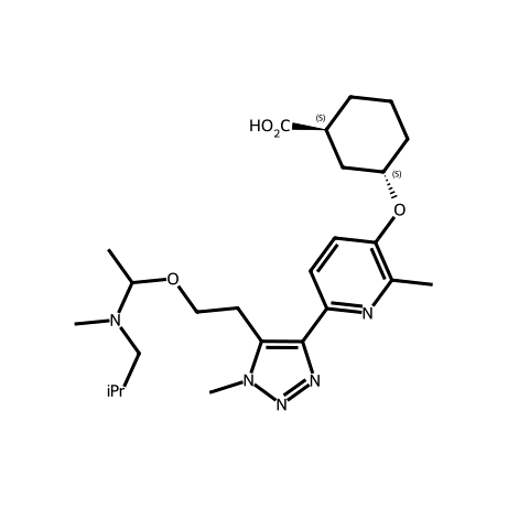 Cc1nc(-c2nnn(C)c2CCOC(C)N(C)CC(C)C)ccc1O[C@H]1CCC[C@H](C(=O)O)C1